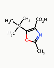 Cc1nc(C(=O)O)c([Si](C)(C)C)o1